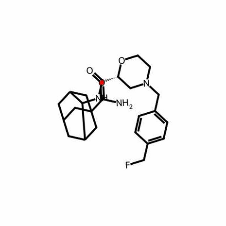 NC(=O)C12CC3CC(C1)C(NC(=O)[C@H]1CN(Cc4ccc(CF)cc4)CCO1)C(C3)C2